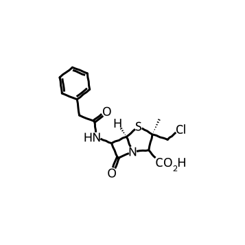 C[C@@]1(CCl)S[C@@H]2C(NC(=O)Cc3ccccc3)C(=O)N2C1C(=O)O